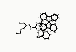 CCCCC(CC)COC1CC(c2cccc3c2C(c2ccccc2)(c2ccccc2)c2ccccc2-3)=NC(C2=C(O)C=CCC2)N1